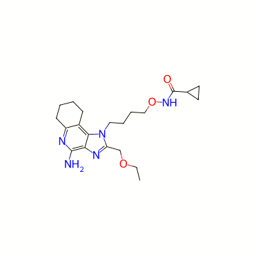 CCOCc1nc2c(N)nc3c(c2n1CCCCONC(=O)C1CC1)CCCC3